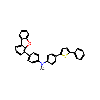 CC(=O)N(c1ccc(-c2ccc(-c3ccccc3)s2)cc1)c1ccc(-c2cccc3c2oc2ccccc23)cc1